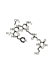 CCC[C@@H](NC(=O)[C@H](C)NC(=O)Cc1ccncc1)C(=O)N[C@@H](CC(N)=O)C(=O)NCCCNC(=O)CSC[C@H](NC(=O)CCO)C(=O)O